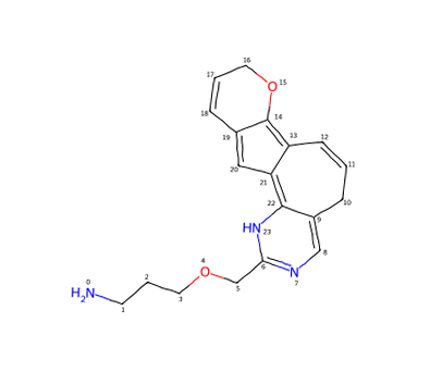 NCCCOCC1=NC=C2CC=CC3=C4OCC=CC4=CC3=C2N1